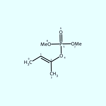 CC=C(C)OP(=O)(OC)OC